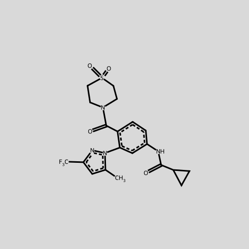 Cc1cc(C(F)(F)F)nn1-c1cc(NC(=O)C2CC2)ccc1C(=O)N1CCS(=O)(=O)CC1